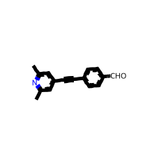 Cc1cc(C#Cc2ccc(C=O)cc2)cc(C)n1